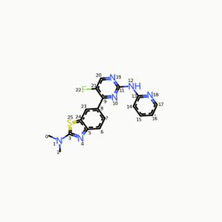 CN(C)c1nc2ccc(-c3nc(Nc4cc[c]cn4)ncc3F)cc2s1